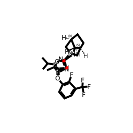 Cc1nnc(N2C[C@H]3CC[C@@H](C2)[C@@H]3Nc2nc(Oc3cccc(C(F)(F)F)c3F)n(C(C)C)n2)o1